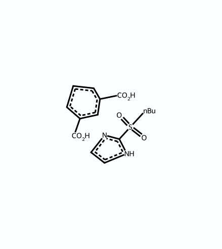 CCCCS(=O)(=O)c1ncc[nH]1.O=C(O)c1cccc(C(=O)O)c1